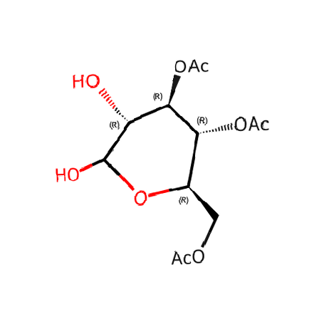 CC(=O)OC[C@H]1OC(O)[C@H](O)[C@@H](OC(C)=O)[C@@H]1OC(C)=O